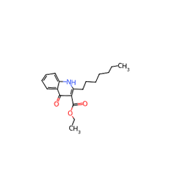 CCCCCCCc1[nH]c2ccccc2c(=O)c1C(=O)OCC